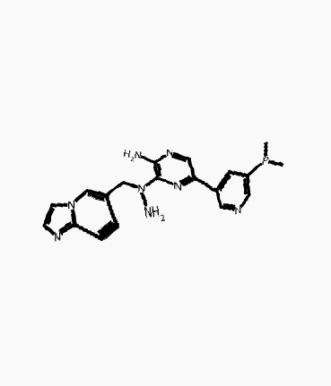 CP(C)c1cncc(-c2cnc(N)c(N(N)Cc3ccc4nccn4c3)n2)c1